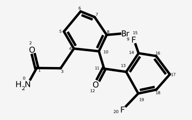 NC(=O)Cc1cccc(Br)c1C(=O)c1c(F)cccc1F